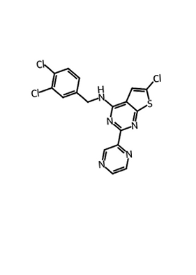 Clc1cc2c(NCc3ccc(Cl)c(Cl)c3)nc(-c3cnccn3)nc2s1